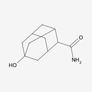 NC(=O)C1C2CC3CC1CC(O)(C3)C2